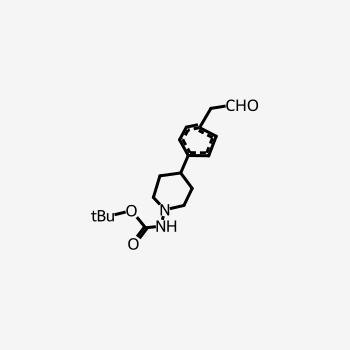 CC(C)(C)OC(=O)NN1CCC(c2ccc(CC=O)cc2)CC1